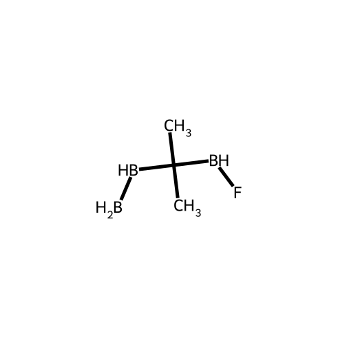 BBC(C)(C)BF